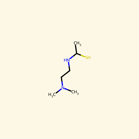 CC(S)NCCN(C)C